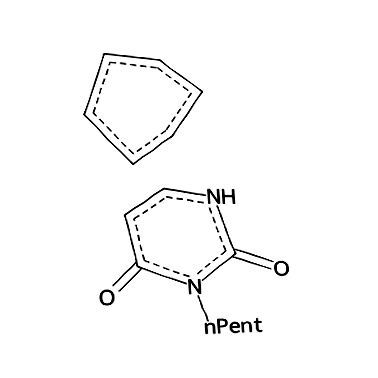 CCCCCn1c(=O)cc[nH]c1=O.c1ccccc1